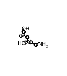 Cl.NCc1cccc(C2CCN(C(=O)c3cccc(C(C=O)c4ccc(O)cc4)c3)CC2)c1